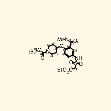 CCOC(=O)CS(=O)(=O)Nc1ccc(OC2CCN(C(=O)OC(C)(C)C)CC2)c(C(=O)NC)c1